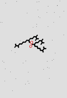 CC(C)C(C)CCCCCC(CCCC(C)C(C)C)COC(=O)C(CCCCCC(C)C(C)C)CCCC(C)C(C)C